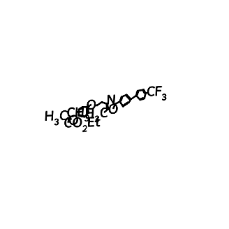 CCOC(=O)C(C)(C)Oc1ccc(OCCc2nc(-c3ccc(-c4ccc(C(F)(F)F)cc4)cc3)oc2C)cc1